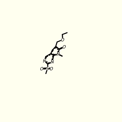 CCOCc1cc2cnc(S(C)(=O)=O)nc2n(C)c1=O